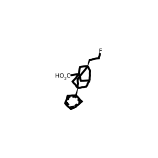 O=C(O)C12CC3C[C@@](CCF)(C1)C[C@](c1ccccc1)(C3)C2